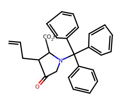 C=CCC1C(=O)CN(C(c2ccccc2)(c2ccccc2)c2ccccc2)C1C(=O)O